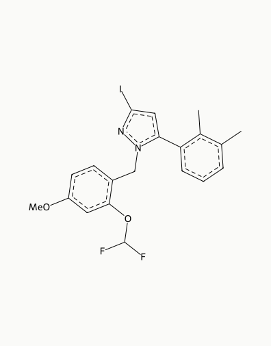 COc1ccc(Cn2nc(I)cc2-c2cccc(C)c2C)c(OC(F)F)c1